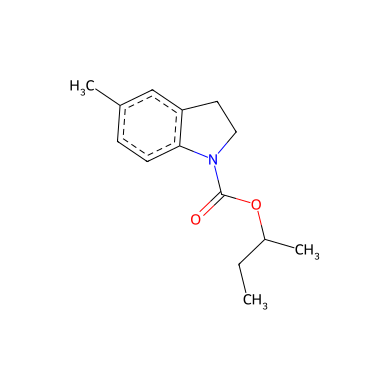 CCC(C)OC(=O)N1CCc2cc(C)ccc21